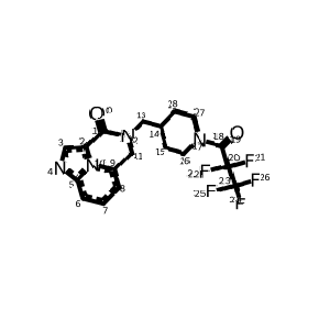 O=C1c2cnc3cccc(n23)CN1CC1CCN(C(=O)C(F)(F)C(F)(F)F)CC1